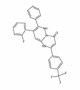 O=C1C=C(c2ccc(C(F)(F)F)cc2)NC2=CC(c3ccccc3F)=C(c3ccccc3)NN12